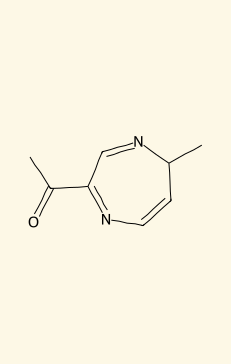 CC(=O)C1=NC=CC(C)N=C1